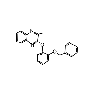 Cc1nc2ccccc2nc1Oc1ccccc1OCc1ccccc1